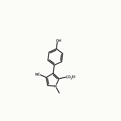 CCOC(=O)c1c(-c2ccc(O)cc2)c(C#N)cn1C